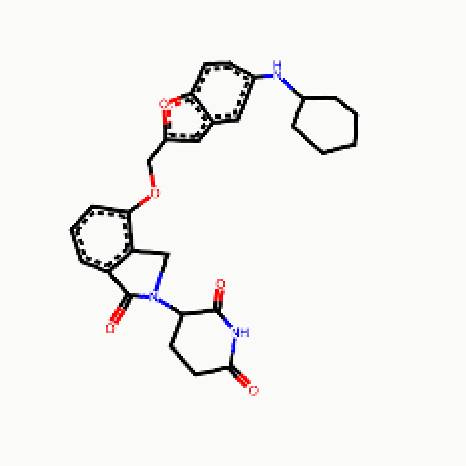 O=C1CCC(N2Cc3c(OCc4cc5cc(NC6CCCCC6)ccc5o4)cccc3C2=O)C(=O)N1